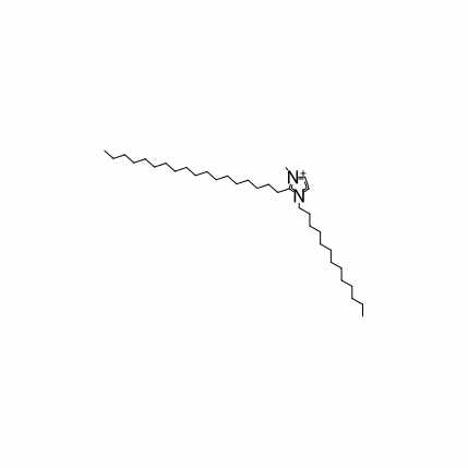 CCCCCCCCCCCCCCCCCCc1n(CCCCCCCCCCCCC)cc[n+]1C